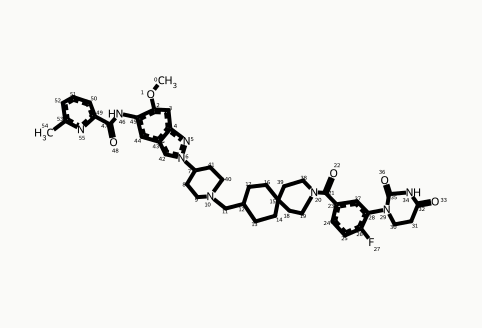 COc1cc2nn(C3CCN(CC4CCC5(CC4)CCN(C(=O)c4ccc(F)c(N6CCC(=O)NC6=O)c4)CC5)CC3)cc2cc1NC(=O)c1cccc(C)n1